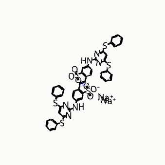 O=S(=O)([O-])c1cc(Nc2nc(Sc3ccccc3)cc(Sc3ccccc3)n2)ccc1/C=C/c1ccc(Nc2nc(Sc3ccccc3)cc(Sc3ccccc3)n2)cc1S(=O)(=O)[O-].[Na+].[Na+]